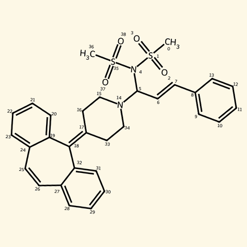 CS(=O)(=O)N(C(C=Cc1ccccc1)N1CCC(=C2c3ccccc3C=Cc3ccccc32)CC1)S(C)(=O)=O